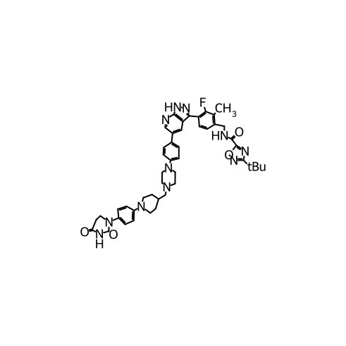 Cc1c(CNC(=O)c2nc(C(C)(C)C)no2)ccc(-c2n[nH]c3ncc(-c4ccc(N5CCN(CC6CCN(c7ccc(N8CCC(=O)NC8=O)cc7)CC6)CC5)cc4)cc23)c1F